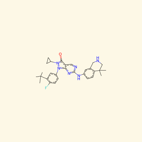 CC(C)(C)c1cc(-n2c3nc(Nc4ccc5c(c4)CNCC5(C)C)ncc3c(=O)n2C2CC2)ccc1F